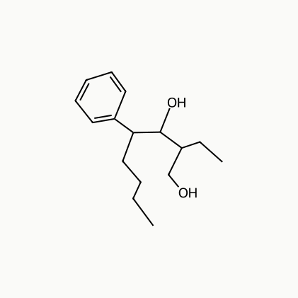 CCCCC(c1ccccc1)C(O)C(CC)CO